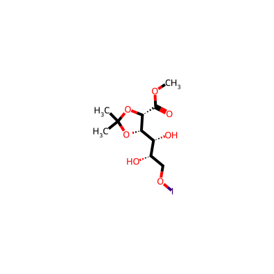 COC(=O)[C@H]1OC(C)(C)O[C@H]1[C@H](O)[C@@H](O)COI